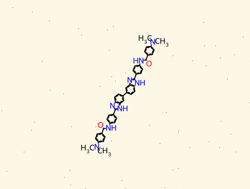 CN(C)c1ccc(C(=O)Nc2ccc(-c3nc4cc(-c5ccc6nc(-c7ccc(NC(=O)c8ccc(N(C)C)cc8)cc7)[nH]c6c5)ccc4[nH]3)cc2)cc1